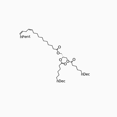 CCCCC/C=C\C/C=C\CCCCCCCCCC(=O)OC[C@H](COC(=O)CCCCCCCCCCCCCC)OC(=O)CCCCCCCCCCCCCCC